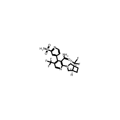 NC(=O)c1c(N2C[C@@H]3CC[C@]3(C(F)(F)F)C2)ncc(C(F)(F)F)c1-c1ccnc(S(N)(=O)=O)c1